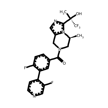 C[C@H]1CN(C(=O)c2ccc(F)c(-c3ccncc3F)c2)Cc2cnc([C@@](C)(O)C(F)(F)F)n21